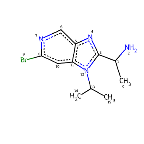 CC(N)c1nc2cnc(Br)cc2n1C(C)C